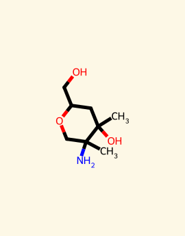 CC1(N)COC(CO)CC1(C)O